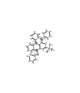 FC(F)(F)c1cc2c3c(c1)B(c1ccccc1)c1ccccc1N3c1ccccc1B2Sc1ccccc1